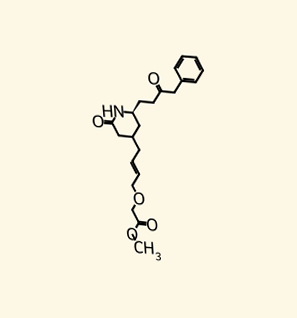 COC(=O)COCC=CCC1CC(=O)N[C@@H](CCC(=O)Cc2ccccc2)C1